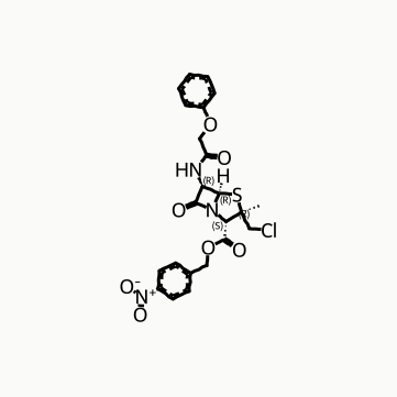 C[C@@]1(CCl)S[C@@H]2[C@H](NC(=O)COc3ccccc3)C(=O)N2[C@H]1C(=O)OCc1ccc([N+](=O)[O-])cc1